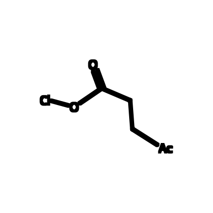 CC(=O)CCC(=O)OCl